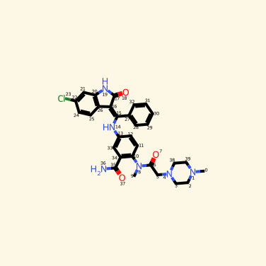 CN1CCN(CC(=O)N(C)c2ccc(NC(=C3C(=O)Nc4cc(Cl)ccc43)c3ccccc3)cc2C(N)=O)CC1